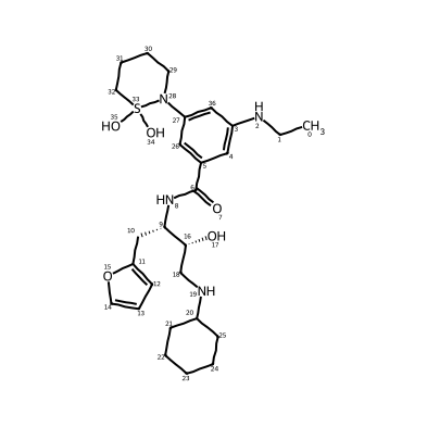 CCNc1cc(C(=O)N[C@@H](Cc2ccco2)[C@H](O)CNC2CCCCC2)cc(N2CCCCS2(O)O)c1